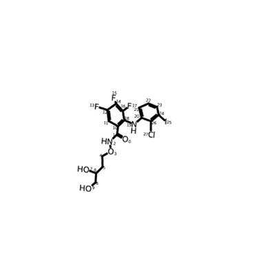 O=C(NOCCC(O)CO)c1cc(F)c(F)c(F)c1Nc1cccc(I)c1Cl